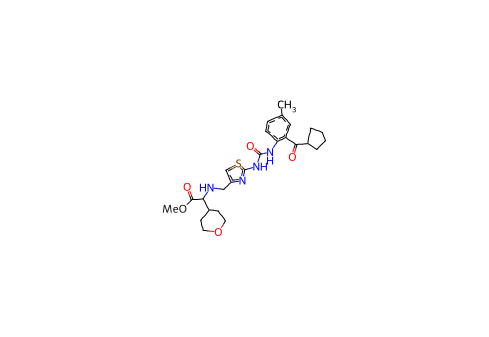 COC(=O)C(NCc1csc(NC(=O)Nc2ccc(C)cc2C(=O)C2CCCC2)n1)C1CCOCC1